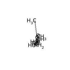 CCCCCCCCCCCCCCCCCC(COC[C@@H](O)COP(=O)(O)OC[C@H](N)C(=O)O)OC